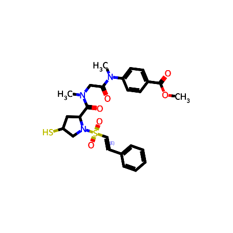 COC(=O)c1ccc(N(C)C(=O)CN(C)C(=O)C2CC(S)CN2S(=O)(=O)/C=C/c2ccccc2)cc1